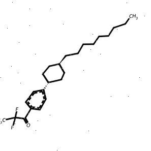 CCCCCCCCC[C@H]1CC[C@H](c2ccc(C(=O)C(C)(F)F)cc2)CC1